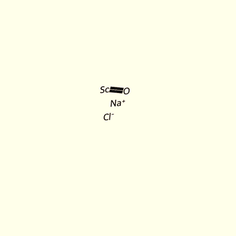 [Cl-].[Na+].[O]=[Sc]